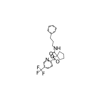 O=C(NCCCc1ccccc1)C1(S(=O)(=O)c2ccc(C(F)(F)F)cn2)CCCC1